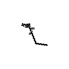 CCCCCCCC/C=C\CCCCCCCC(=O)OC[C@H](O)COP(=O)(O)OCC[N+](C)(C)C